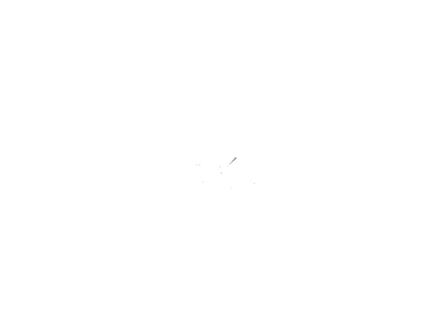 O=C1C[C@]2(C[C@@H]2c2ccc(C(F)F)cc2)C(=O)N1Cc1ccccc1